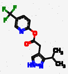 CC(C)c1n[nH]cc1CC(=O)Oc1ccc(C(F)(F)F)cn1